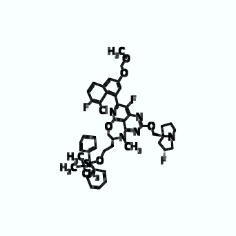 COCOc1cc(-c2nc3c4c(nc(OC[C@@]56CCCN5C[C@H](F)C6)nc4c2F)N(C)[C@@H](CCO[Si](c2ccccc2)(c2ccccc2)C(C)(C)C)CO3)c2c(Cl)c(F)ccc2c1